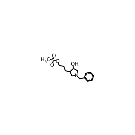 CS(=O)(=O)OCCCC1CN(Cc2ccccc2)CC1O